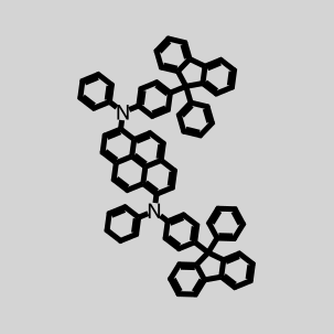 C1=CC(N(c2ccc(C3(c4ccccc4)c4ccccc4-c4ccccc43)cc2)c2ccc3ccc4c(N(c5ccccc5)c5ccc(C6(c7ccccc7)c7ccccc7-c7ccccc76)cc5)ccc5ccc2c3c54)=CCC1